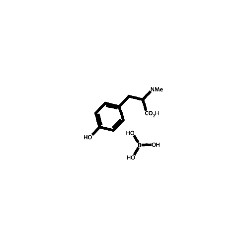 CNC(Cc1ccc(O)cc1)C(=O)O.OB(O)O